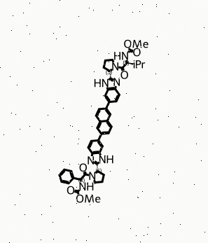 COC(=O)N[C@H](C(=O)N1CCC[C@H]1c1nc2ccc(-c3ccc4cc(-c5ccc6nc([C@@H]7CCCN7C(=O)[C@H](NC(=O)OC)c7ccccc7)[nH]c6c5)ccc4c3)cc2[nH]1)C(C)C